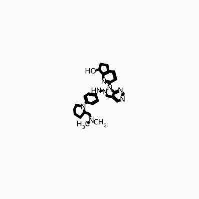 CN(C)CC1CCCCN1c1ccc(NN2Cc3cncnc3N2c2ccc3c(n2)C(O)CC3)cc1